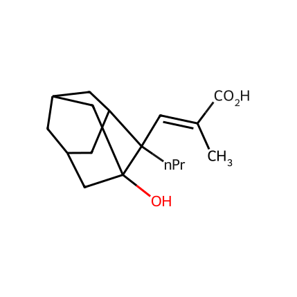 CCCC1(C=C(C)C(=O)O)C2CC3CC(C2)CC1(O)C3